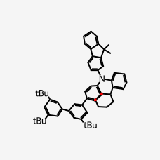 CC(C)(C)c1cc(-c2ccc(N(c3ccc4c(c3)C(C)(C)c3ccccc3-4)c3ccccc3C3CCCCC3)cc2)cc(-c2cc(C(C)(C)C)cc(C(C)(C)C)c2)c1